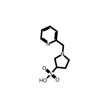 O=S(=O)(O)C1CCN(Cc2ccccn2)C1